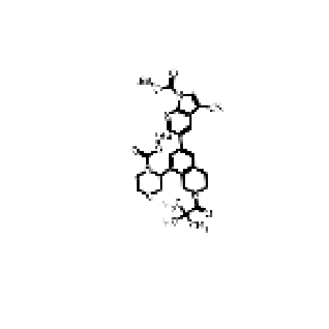 CC(C)(C)OC(=O)N1CCOCC1c1cc(-c2cnc3c(c2)c(C#N)cn3C(=O)OC(C)(C)C)cc2c1CN(C(=O)C(C)(C)O)CC2